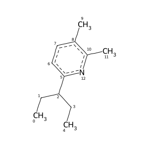 CCC(CC)c1ccc(C)c(C)n1